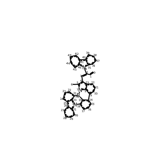 C=C/C(=C\c1c(C)n2c3c(cccc13)-c1cccc3c1B2c1cccc2c4ccccc4n-3c12)n1c2ccccc2c2ccccc21